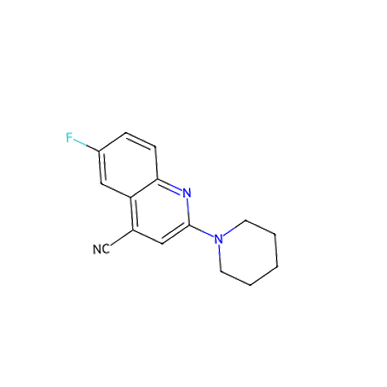 N#Cc1cc(N2CCCCC2)nc2ccc(F)cc12